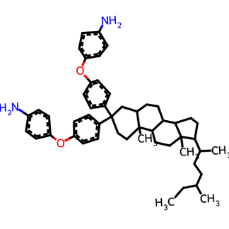 CCC(C)CCC(C)C1CCC2C3CCC4CC(c5ccc(Oc6ccc(N)cc6)cc5)(c5ccc(Oc6ccc(N)cc6)cc5)CCC4(C)C3CCC12C